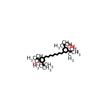 CC(C)(C)C1CC(CCCCCCCCC2CC(C(C)(C)C)C(O)C(C(C)(C)C)C2)CC(C(C)(C)C)C1O